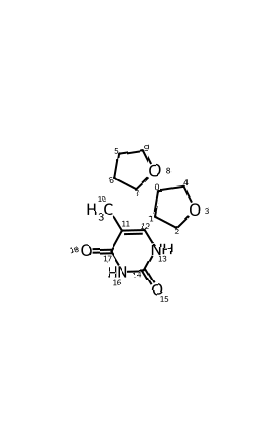 C1CCOC1.C1CCOC1.Cc1c[nH]c(=O)[nH]c1=O